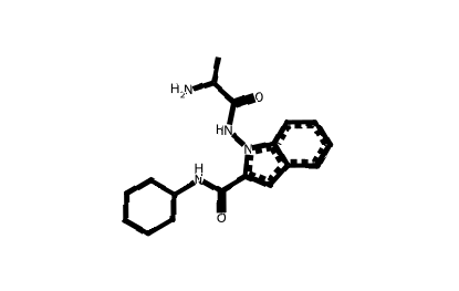 CC(N)C(=O)Nn1c(C(=O)NC2CCCCC2)cc2ccccc21